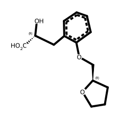 O=C(O)[C@H](O)Cc1ccccc1OC[C@H]1CCCO1